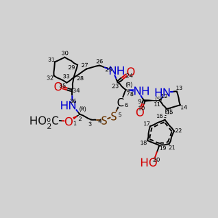 O=C(O)O[C@@H]1CSSC[C@H](NC(=O)[C@H]2NCC[C@@H]2c2ccc(O)cc2)C(=O)NCCC2(CCCCC2)C(=O)N1